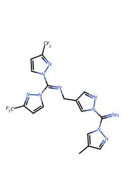 Cc1cnn(C(=N)n2cc(CN=C(n3ccc(C(F)(F)F)n3)n3ccc(C(F)(F)F)n3)cn2)c1